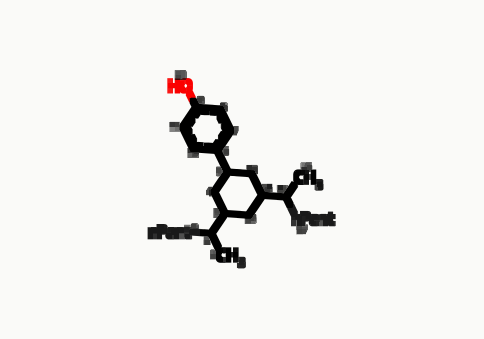 CCCCCC(C)C1CC(c2ccc(O)cc2)CC(C(C)CCCCC)C1